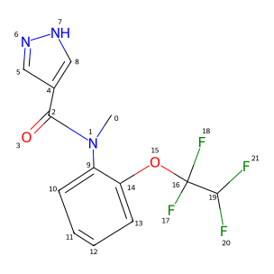 CN(C(=O)c1cn[nH]c1)c1ccccc1OC(F)(F)C(F)F